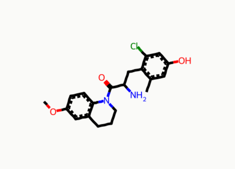 COc1ccc2c(c1)CCCN2C(=O)C(N)Cc1c(C)cc(O)cc1Cl